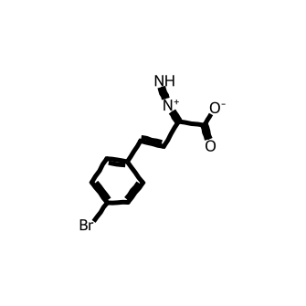 N=[N+]=C(C=Cc1ccc(Br)cc1)C(=O)[O-]